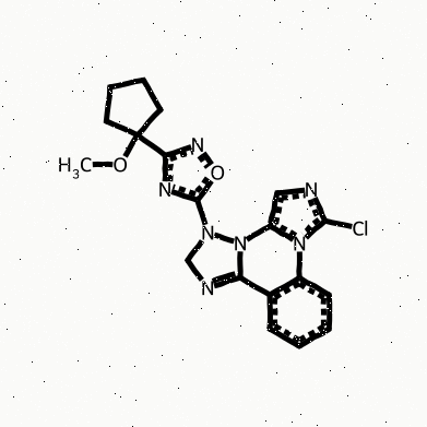 COC1(c2noc(N3CN=C4c5ccccc5-n5c(cnc5Cl)N43)n2)CCCC1